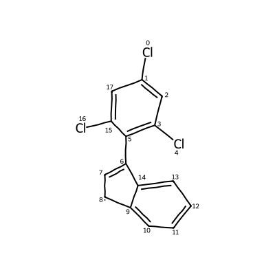 Clc1cc(Cl)c(C2=C[CH]c3ccccc32)c(Cl)c1